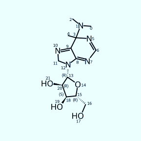 CN(C)C1(C)N=CN=C2C1=NCN2[C@@H]1O[C@H](CO)[C@@H](O)[C@H]1O